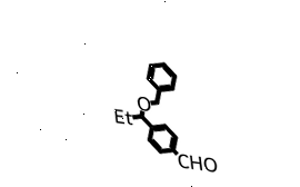 CCC(OCc1ccccc1)c1ccc(C=O)cc1